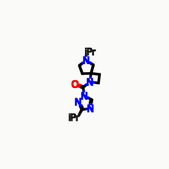 CC(C)c1ncn(C(=O)N2CCC23CCN(C(C)C)C3)n1